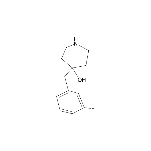 OC1(Cc2cccc(F)c2)CCNCC1